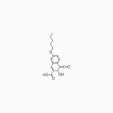 CCCCCOc1ccc2c(c1)C=C(C(=O)O)C(O)C2=C=O